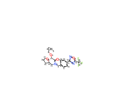 CCOCC(=O)N(Cc1ccc(-c2noc(C(F)(F)F)n2)cc1)CC1CCCO1